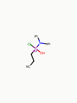 CC(C)N(C(C)C)[PH](O)(Cl)CCC#N